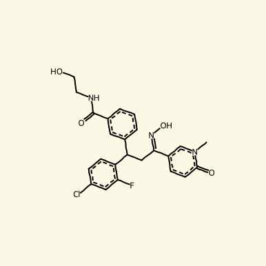 Cn1cc(C(CC(c2cccc(C(=O)NCCO)c2)c2ccc(Cl)cc2F)=NO)ccc1=O